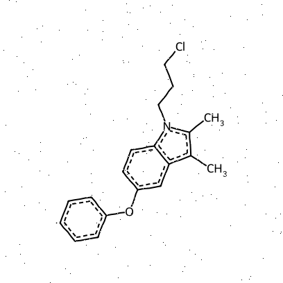 Cc1c(C)n(CCCCl)c2ccc(Oc3cc[c]cc3)cc12